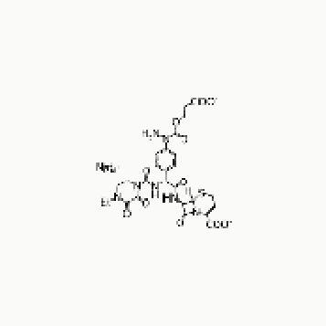 CCN1CCN(C(=O)N[C@@H](C(=O)N[C@@H]2C(=O)N3C(C(=O)[O-])=CCS[C@@H]23)c2ccc(N(N)C(=O)OCCC(=O)[O-])cc2)C(=O)C1=O.[Na+].[Na+]